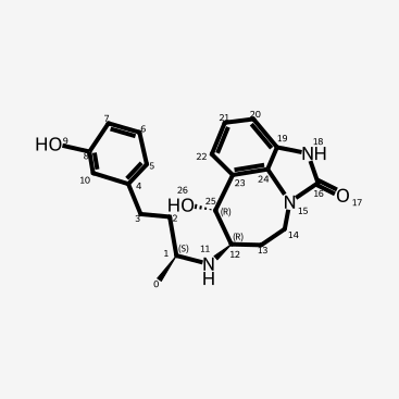 C[C@@H](CCc1cccc(O)c1)N[C@@H]1CCn2c(=O)[nH]c3cccc(c32)[C@H]1O